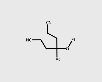 CCOC(CCC#N)(CCC#N)C(C)=O